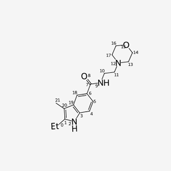 CCc1[nH]c2ccc(C(=O)NCCN3CCOCC3)cc2c1C